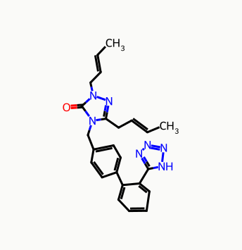 CC=CCc1nn(CC=CC)c(=O)n1Cc1ccc(-c2ccccc2-c2nnn[nH]2)cc1